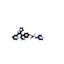 O=C(NCc1ccncc1)Oc1ccc2c(-c3c(-c4ccccn4)nn4c3CCC4)ccnc2c1